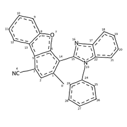 Cc1cc(C#N)c2c(oc3ccccc32)c1-c1nc2ccccc2n1-c1ccccc1